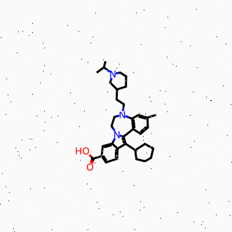 Cc1ccc2c(c1)N(CCC1CCCN(C(C)C)C1)CCn1c-2c(C2CCCCC2)c2ccc(C(=O)O)cc21